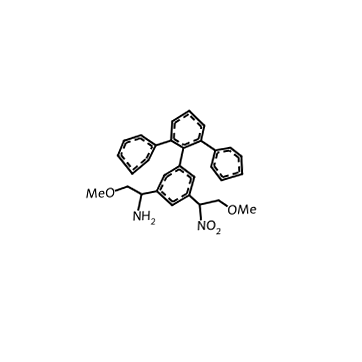 COCC(N)c1cc(-c2c(-c3ccccc3)cccc2-c2ccccc2)cc(C(COC)[N+](=O)[O-])c1